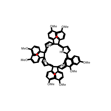 COc1ccc(/C2=C3\C=CC(c4ccc(OC)cc4)(N3)/C(c3ccc(OC)cc3)=C3/C=CC(c4ccc(OC)cc4)(N3)/C(c3ccc(OC)cc3)=C3/C=CC(c4ccc(OC)cc4)(N3)/C(c3ccc(OC)cc3)=C3/C=CC2(c2ccc(OC)cc2)N3)cc1